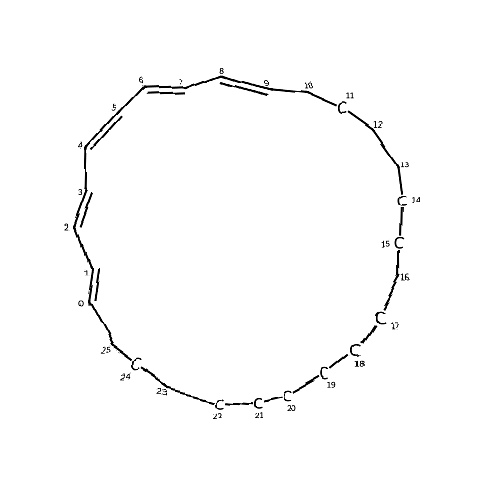 [C]1=C/C=C/C=C\C=C\C=C\CCCCCCCCCCCCCCCC/1